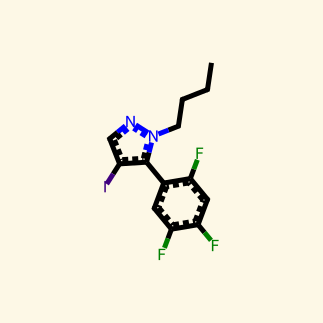 CCCCn1ncc(I)c1-c1cc(F)c(F)cc1F